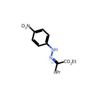 CCC/C(=N/Nc1ccc([N+](=O)[O-])cc1)C(=O)OCC